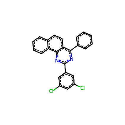 Clc1cc(Cl)cc(-c2nc(-c3ccccc3)c3ccc4ccccc4c3n2)c1